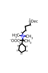 CCCCCCCCCCCCCC[N+](C)(C)C(C)(C(=O)[O-])C1CCCCC1